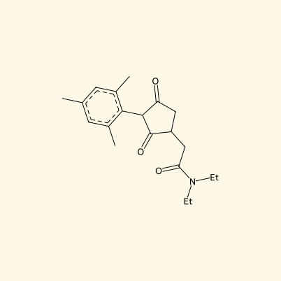 CCN(CC)C(=O)CC1CC(=O)C(c2c(C)cc(C)cc2C)C1=O